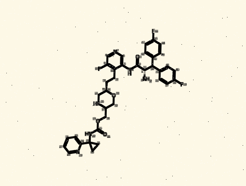 N[C@H](C(=O)Nc1cncc(F)c1CC[C@@H]1CNC(COC(=O)NC2(c3ccccn3)CC2)CO1)C(c1ccc(F)cc1)c1ccc(F)cc1